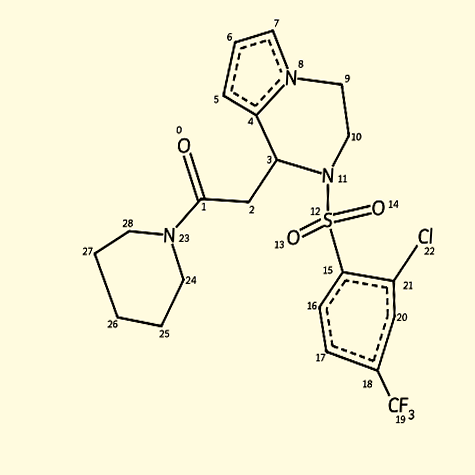 O=C(CC1c2cccn2CCN1S(=O)(=O)c1ccc(C(F)(F)F)cc1Cl)N1CCCCC1